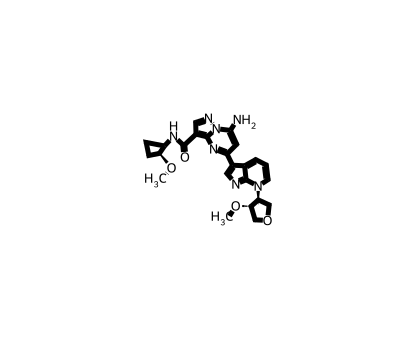 CO[C@H]1CCC1NC(=O)c1cnn2c(N)cc(-c3cnc4n([C@H]5COC[C@@H]5OC)cccc3-4)nc12